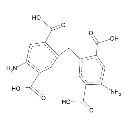 Nc1cc(C(=O)O)c(Cc2cc(C(=O)O)c(N)cc2C(=O)O)cc1C(=O)O